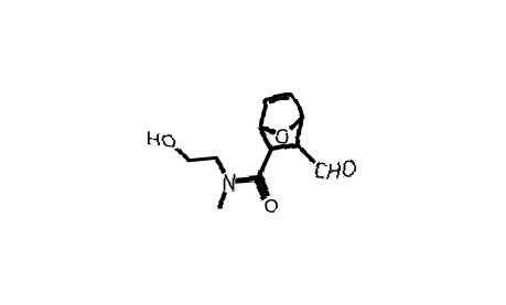 CN(CCO)C(=O)C1C2C=CC(O2)C1C=O